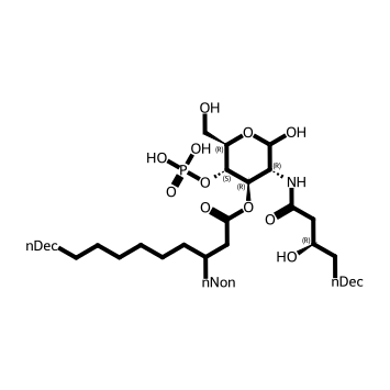 CCCCCCCCCCCCCCCCC(CCCCCCCCC)CC(=O)O[C@H]1[C@H](OP(=O)(O)O)[C@@H](CO)OC(O)[C@@H]1NC(=O)C[C@H](O)CCCCCCCCCCC